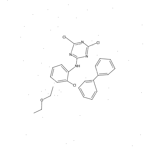 CCOCC.Clc1nc(Cl)nc(Nc2ccccc2Cl)n1.c1ccc(-c2ccccc2)cc1